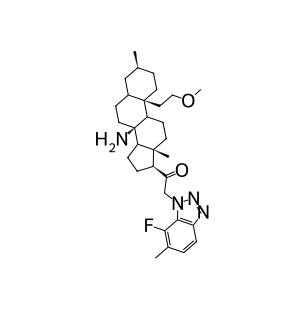 COCC[C@]12CC[C@H](C)CC1CC[C@]1(N)C2CC[C@@]2(C)C1CC[C@@H]2C(=O)Cn1nnc2ccc(C)c(F)c21